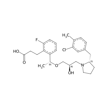 Cc1ccc(C[C@@H]2CCCN2C[C@@H](O)CO[C@H](C)c2cccc(F)c2CCC(=O)O)cc1Cl